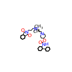 C[N+](C)(CCCN1CCC(OC(=O)Nc2ccccc2-c2ccccc2)CC1)CCCN1C(=O)c2ccccc2C1=O